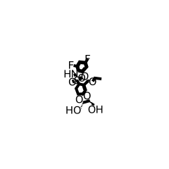 CCOC(=O)C1=CC2(CCC1S(=O)(=O)Nc1ccc(F)cc1F)O[C@@H](CO)[C@H](CO)O2